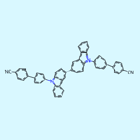 N#Cc1ccc(-c2ccc(-n3c4ccccc4c4cc(-c5ccc6c(c5)c5ccccc5n6-c5ccc(-c6ccc(C#N)cc6)cc5)ccc43)cc2)cc1